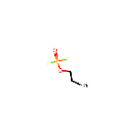 CCCCCOP(=O)(F)F